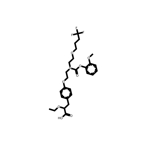 CCOC(Cc1ccc(OCCN(CCOCCCC(F)(F)F)C(=O)Oc2ccccc2OC)cc1)C(=O)O